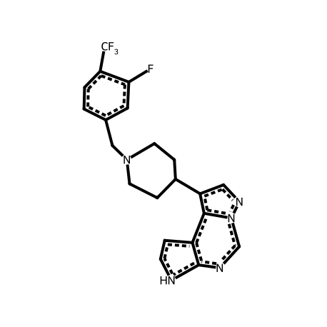 Fc1cc(CN2CCC(c3cnn4cnc5[nH]ccc5c34)CC2)ccc1C(F)(F)F